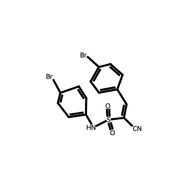 N#CC(=Cc1ccc(Br)cc1)S(=O)(=O)Nc1ccc(Br)cc1